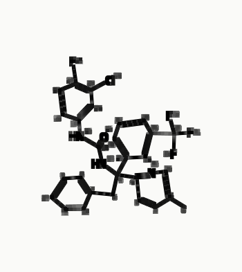 Cc1ccc(C(Cc2ccccc2)(NC(=O)Nc2ccc(F)c(Cl)c2)c2cccc(C(F)(F)F)c2)nc1